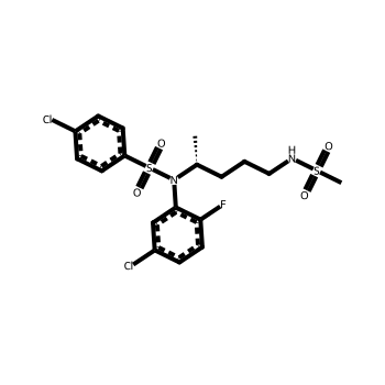 C[C@H](CCCNS(C)(=O)=O)N(c1cc(Cl)ccc1F)S(=O)(=O)c1ccc(Cl)cc1